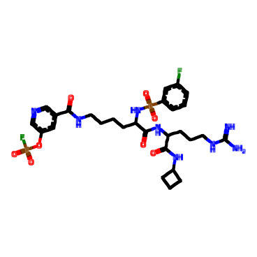 N=C(N)NCCCC(NC(=O)C(CCCCNC(=O)c1cncc(OS(=O)(=O)F)c1)NS(=O)(=O)c1cccc(F)c1)C(=O)NC1CCC1